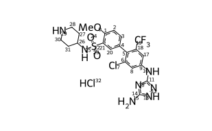 COc1ccc(-c2c(Cl)cc(Nc3n[nH]c(N)n3)cc2C(F)(F)F)cc1S(=O)(=O)NC1CCNCC1.Cl